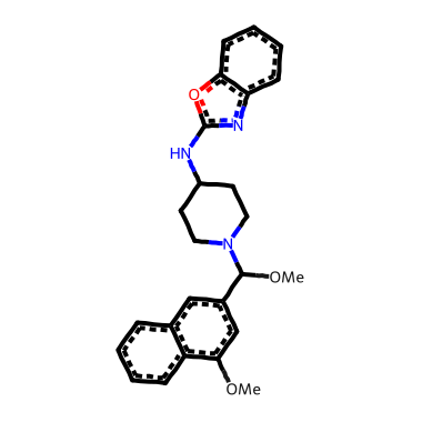 COc1cc(C(OC)N2CCC(Nc3nc4ccccc4o3)CC2)cc2ccccc12